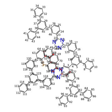 c1ccc(-c2cc(-c3ccccc3)cc(-c3cccc(-c4nc(-c5cccc(-c6cc(-c7ccccc7)cc(-c7ccccc7)c6)c5)nc(-c5cccc(-c6ccccc6Sc6ccccc6-c6cccc(-c7nc(-c8cccc(-c9cc(-c%10ccccc%10)cc(-c%10ccccc%10)c9)c8)nc(-c8cccc(-c9cc(-c%10ccccc%10)cc(-c%10ccccc%10)c9)c8)n7)c6)c5)n4)c3)c2)cc1